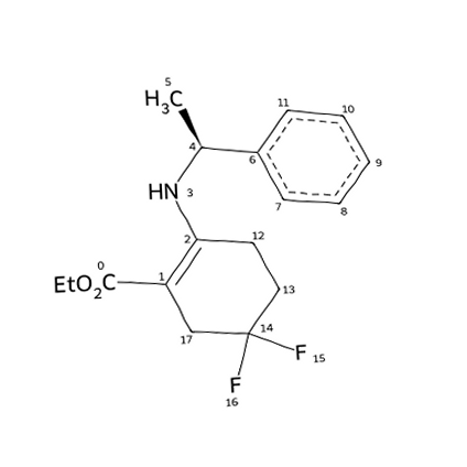 CCOC(=O)C1=C(N[C@@H](C)c2ccccc2)CCC(F)(F)C1